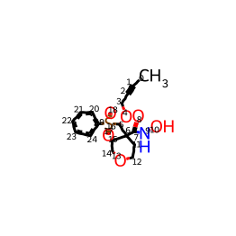 CC#CCOC(C1(C(=O)NO)CCOCC1)S(=O)(=O)c1ccccc1